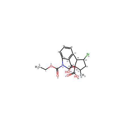 CCOC(=O)N1CC2(C(=O)O)C(C)CC(Br)C2c2cccc1c2C(=O)O